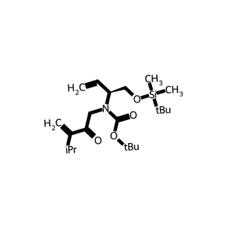 C=C[C@@H](CO[Si](C)(C)C(C)(C)C)N(CC(=O)C(=C)C(C)C)C(=O)OC(C)(C)C